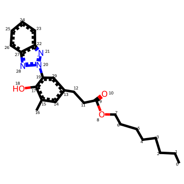 CCCCCCCCOC(=O)CCc1cc(C)c(O)c(-n2nc3ccccc3n2)c1